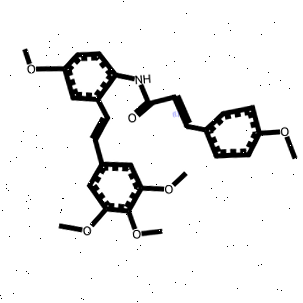 COc1ccc(/C=C/C(=O)Nc2ccc(OC)cc2C=Cc2cc(OC)c(OC)c(OC)c2)cc1